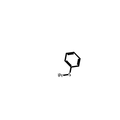 [CH2]C(C)Sc1ccccc1